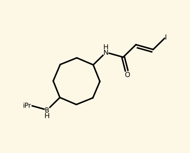 CC(C)BC1CCCC(NC(=O)/C=C/I)CCC1